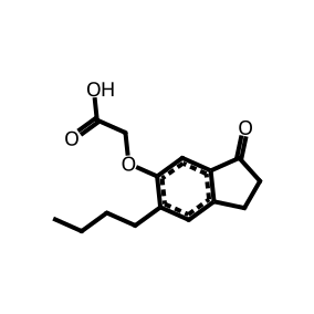 CCCCc1cc2c(cc1OCC(=O)O)C(=O)CC2